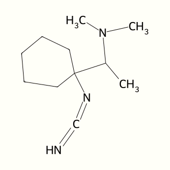 CC(N(C)C)C1(N=C=N)CCCCC1